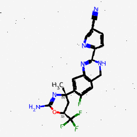 C[C@@]1(c2cc3c(cc2F)CNC(c2ccc(C#N)cn2)=N3)C[C@@H](C(F)(F)F)OC(N)=N1